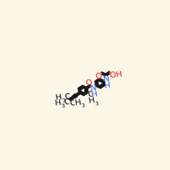 Cc1cc(C#CC(C)(C)C)ccc1C(=O)Nc1ccc2c(c1)OCC(CO)N2